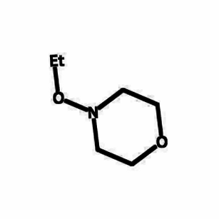 CCON1CCOCC1